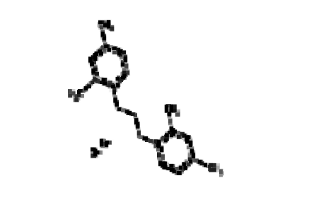 Cc1cc[n+](CCC[n+]2ccc(C)cc2C)c(C)c1.[Br-].[Br-]